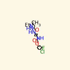 CCN1NC(C(=O)NC23CC(NC(=O)COc4ccc(Cl)c(F)c4)(C2)C3)CC1C